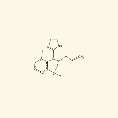 C=CCON(C1=NCCN1)c1c(F)cccc1C(F)(F)F